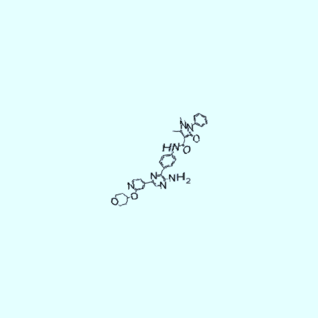 Cc1c(C(=O)Nc2ccc(-c3nc(-c4ccnc(OC5CCOCC5)c4)cnc3N)cc2)c(=O)n(-c2ccccc2)n1C